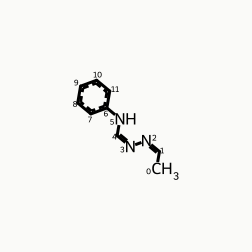 C/C=N\N=C/Nc1ccccc1